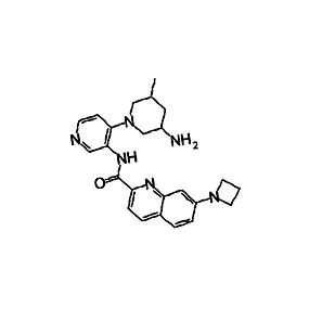 CC1CC(N)CN(c2ccncc2NC(=O)c2ccc3ccc(N4CCC4)cc3n2)C1